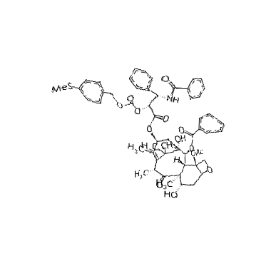 CSc1ccc(COC(=O)O[C@@H](C(=O)O[C@H]2C[C@@]3(O)[C@@H](OC(=O)c4ccccc4)[C@H]4[C@](C)(C(=O)[C@H](C)C(=C2C)C3(C)C)[C@@H](O)CC2OC[C@]24OC(C)=O)[C@@H](NC(=O)c2ccccc2)c2ccccc2)cc1